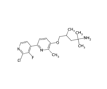 Cc1nc(-c2ccnc(Cl)c2F)ccc1OCC(C)CC(C)(C)N